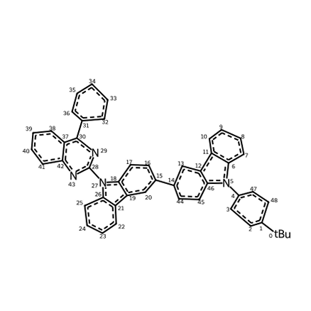 CC(C)(C)c1ccc(-n2c3ccccc3c3cc(-c4ccc5c(c4)c4ccccc4n5-c4nc(-c5ccccc5)c5ccccc5n4)ccc32)cc1